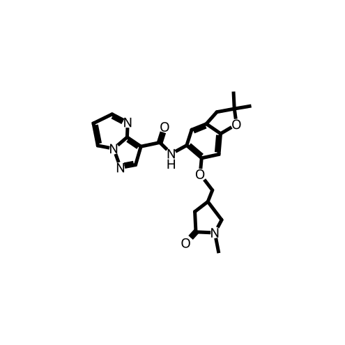 CN1CC(COc2cc3c(cc2NC(=O)c2cnn4cccnc24)CC(C)(C)O3)CC1=O